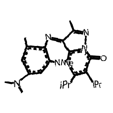 CNc1cc(N(C)C)cc(C)c1N=C1C(C)=Nn2c1nc(C(C)C)c(C(C)C)c2=O